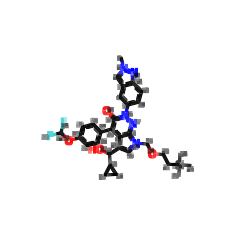 Cn1cc2cc(-n3nc4c(c(C(O)C5CC5)cn4COCC[Si](C)(C)C)c(-c4ccc(OC(F)F)cc4)c3=O)ccc2n1